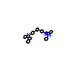 c1ccc(-c2nc3ccccc3c3cc(-c4ccc(-c5cccc(-c6ccc(-c7nc8ccccc8c8c7ccc7ccccc78)cc6)c5)cc4)nn23)cc1